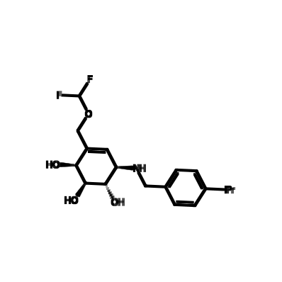 CC(C)c1ccc(CN[C@@H]2C=C(COC(F)F)[C@H](O)[C@H](O)[C@H]2O)cc1